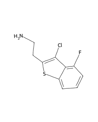 NCCc1sc2cccc(F)c2c1Cl